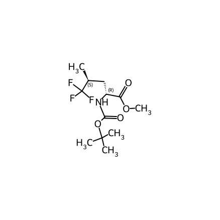 COC(=O)[C@@H](C[C@H](C)C(F)(F)F)NC(=O)OC(C)(C)C